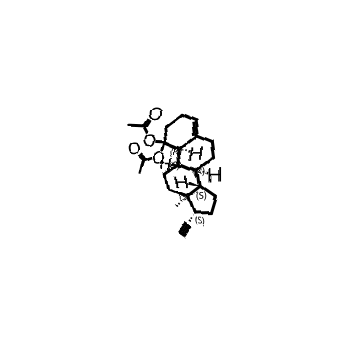 C#C[C@H]1CC[C@H]2[C@@H]3CCC4=CCCC(OC(C)=O)(OC(C)=O)[C@@H]4[C@H]3CC[C@]12C